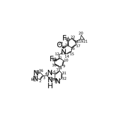 Cn1cc(-c2nc3c(-c4ccc(Cn5ccc6cc(C7CC7)cc(F)c6c5=O)c(F)c4)ccnc3[nH]2)cn1